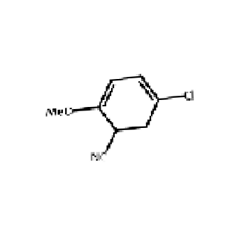 COC1=CC=C(Cl)CC1C#N